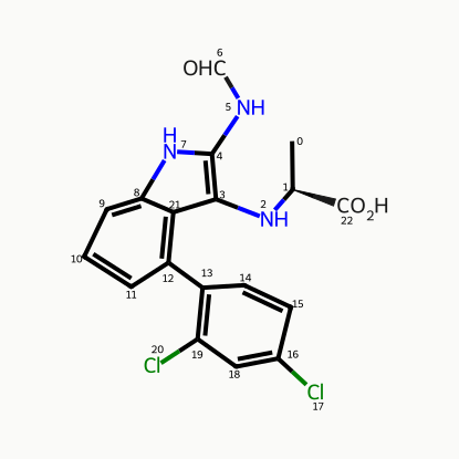 C[C@H](Nc1c(NC=O)[nH]c2cccc(-c3ccc(Cl)cc3Cl)c12)C(=O)O